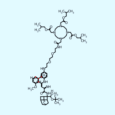 COc1cccc(OC)c1/C(=C/C(=N)C(=O)NC1(C(O)OC(C)(C)C)C2CC3CC4CC1C42C3)Nc1ccc(NCCOCCOCCNC(=O)CN2CCN(CC(=O)OCC(C)C)CCN(CC(=O)OCC(C)C)CCN(CC(=O)OCC(C)C)CC2)cc1C(C)C